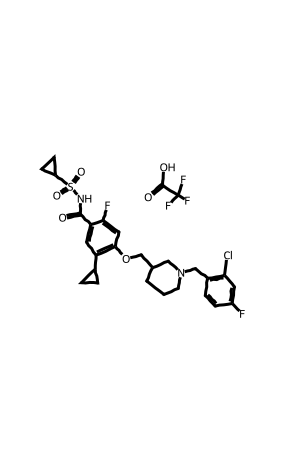 O=C(NS(=O)(=O)C1CC1)c1cc(C2CC2)c(OCC2CCCN(Cc3ccc(F)cc3Cl)C2)cc1F.O=C(O)C(F)(F)F